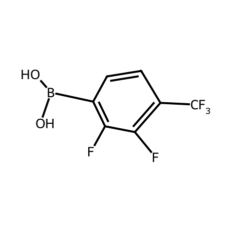 OB(O)c1ccc(C(F)(F)F)c(F)c1F